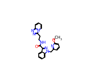 COc1cccc(Cn2nc(C(=O)NCCc3nnc4ccccn34)c3ccccc32)n1